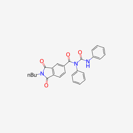 CCCCN1C(=O)c2ccc(C(=O)N(C(=O)Nc3ccccc3)c3ccccc3)cc2C1=O